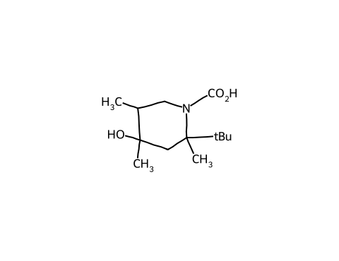 CC1CN(C(=O)O)C(C)(C(C)(C)C)CC1(C)O